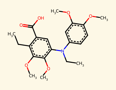 CCc1c(C(=O)O)cc(N(CC)c2ccc(OC)c(OC)c2)c(OC)c1OC